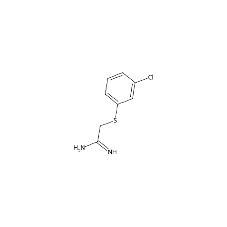 N=C(N)CSc1cccc(Cl)c1